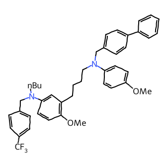 CCCCN(Cc1ccc(C(F)(F)F)cc1)c1ccc(OC)c(CCCCN(Cc2ccc(-c3ccccc3)cc2)c2ccc(OC)cc2)c1